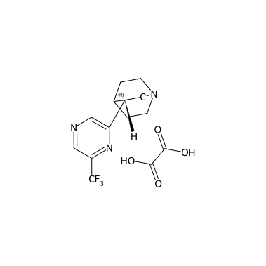 FC(F)(F)c1cncc([C@H]2CN3CCC2CC3)n1.O=C(O)C(=O)O